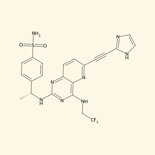 C[C@@H](Nc1nc(NCC(F)(F)F)c2nc(C#Cc3ncc[nH]3)ccc2n1)c1ccc(S(N)(=O)=O)cc1